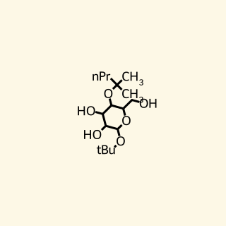 CCCC(C)(C)OC1C(CO)OC(OC(C)(C)C)C(O)C1O